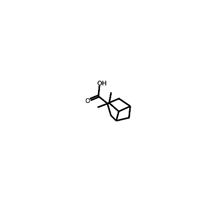 CC(C)C1C2CC(C(=O)O)CC1C2